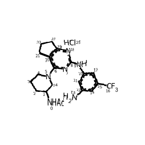 CC(=O)NC1CCCN(c2nc(Nc3cc(N)cc(C(F)(F)F)c3)nc3c2CCC3)C1.Cl